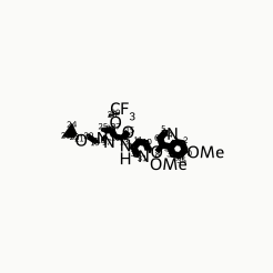 COc1cc2nccc(Oc3ccc(NC(=O)c4nn(CCOC5CC5)cc4OCC(F)(F)F)cn3)c2cc1OC